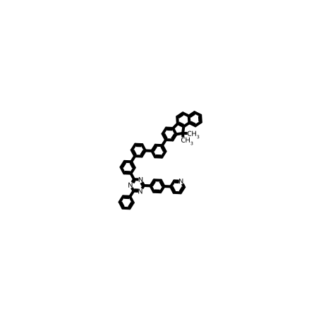 CC1(C)c2cc(-c3cccc(-c4cccc(-c5cccc(-c6nc(-c7ccccc7)nc(-c7ccc(-c8cccnc8)cc7)n6)c5)c4)c3)ccc2-c2ccc3ccccc3c21